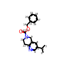 CC(C)c1cnc2c(c1)CN(C(=O)OCc1ccccc1)CC2